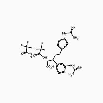 N=C(N)Nc1ccc(CCC(CC(=O)O)c2cccc(NC(=N)N)c2)cc1.O=C(O)C(F)(F)F.O=C(O)C(F)(F)F